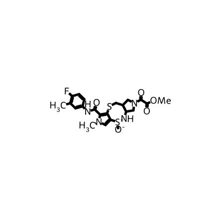 COC(=O)C(=O)N1CC2CSc3c(cn(C)c3C(=O)Nc3ccc(F)c(C)c3)[S+]([O-])NC2C1